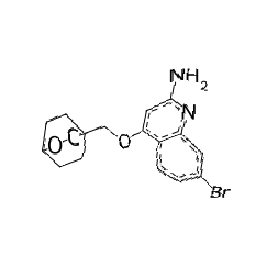 Nc1cc(OCC23CCC(CC2)OC3)c2ccc(Br)cc2n1